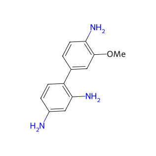 COc1cc(-c2ccc(N)cc2N)ccc1N